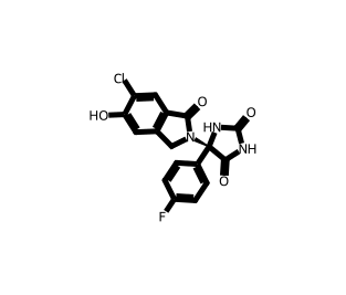 O=C1NC(=O)[C@@](c2ccc(F)cc2)(N2Cc3cc(O)c(Cl)cc3C2=O)N1